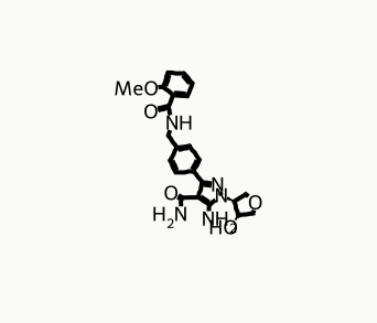 COc1ccccc1C(=O)NCc1ccc(-c2nn([C@H]3COC[C@@H]3O)c(N)c2C(N)=O)cc1